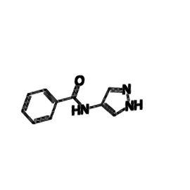 O=C(Nc1cn[nH]c1)c1ccccc1